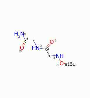 CC(C)(C)ONCC(=O)NCC(N)=O